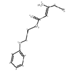 C/C(=C\C(=O)OCCOc1ccccc1)CBr